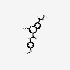 COC(=O)c1ccc2c(c1)OC(C)=CN(C(=O)Nc1ccc(OC)cc1)C2